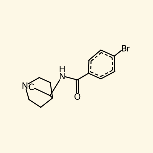 O=C(NC1CN2CCC1CC2)c1ccc(Br)cc1